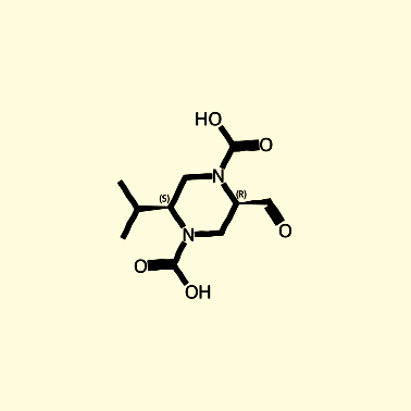 CC(C)[C@H]1CN(C(=O)O)[C@@H](C=O)CN1C(=O)O